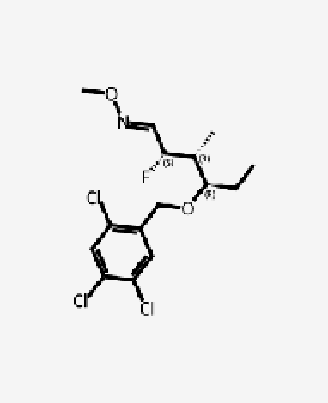 CC[C@@H](OCc1cc(Cl)c(Cl)cc1Cl)[C@@H](C)[C@H](F)C=NOC